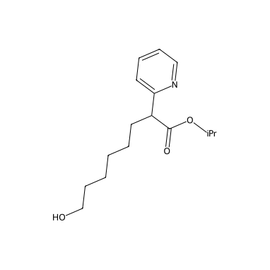 CC(C)OC(=O)C(CCCCCCO)c1ccccn1